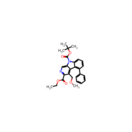 CCOC(=O)c1ncc2c(c1COC)c1c(-c3ccccc3)cccc1n2C(=O)OC(C)(C)C